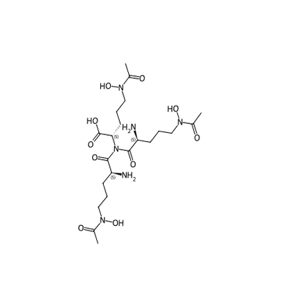 CC(=O)N(O)CCC[C@H](N)C(=O)N(C(=O)[C@@H](N)CCCN(O)C(C)=O)[C@@H](CCCN(O)C(C)=O)C(=O)O